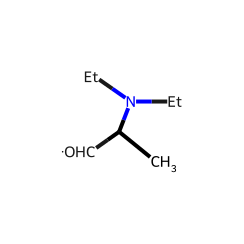 CCN(CC)C(C)[C]=O